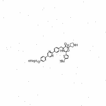 CCCCCCCOc1ccc(-c2cnc(-c3ccc(C[C@H](NC(=O)c4ccc(C(C)(C)C)s4)C(=O)NC4CCNC4)cc3)nc2)cc1